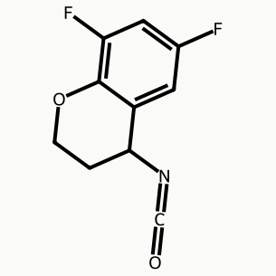 O=C=NC1CCOc2c(F)cc(F)cc21